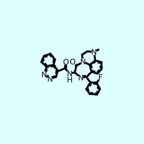 CN1CCN2C(=O)C(NC(=O)c3cnnc4ccccc34)N=C(c3ccccc3F)c3cccc1c32